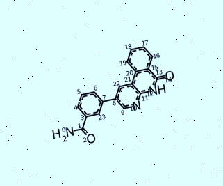 NC(=O)c1cccc(-c2cnc3[nH]c(=O)c4ccccc4c3c2)c1